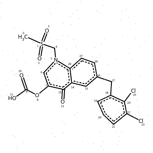 CS(=O)(=O)Cn1cc(OC(=O)O)c(=O)c2cc(Cc3cccc(Cl)c3Cl)ccc21